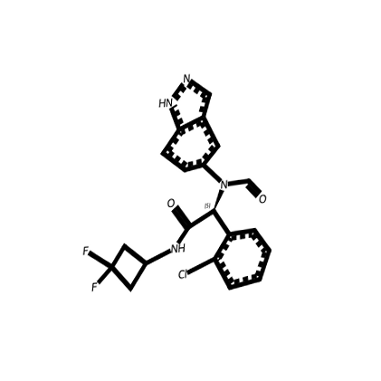 O=CN(c1ccc2[nH]ncc2c1)[C@H](C(=O)NC1CC(F)(F)C1)c1ccccc1Cl